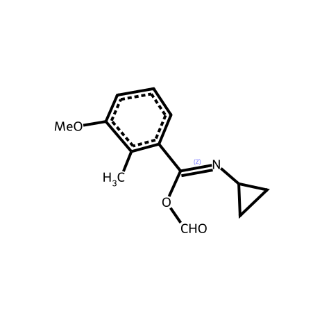 COc1cccc(/C(=N/C2CC2)OC=O)c1C